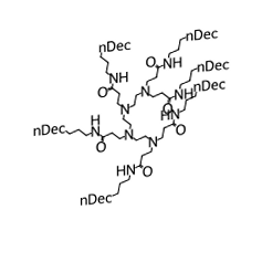 CCCCCCCCCCCCCNC(=O)CCN(CCC(=O)NCCCCCCCCCCCCC)CCN(CCC(=O)NCCCCCCCCCCCCC)CCN(CCC(=O)NCCCCCCCCCCCCC)CCN(CCC(=O)NCCCCCCCCCCCCC)CCC(=O)NCCCCCCCCCCCCC